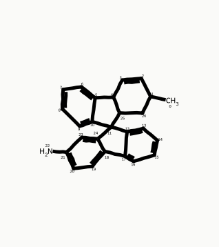 CC1C=CC2c3ccccc3C3(c4ccccc4-c4ccc(N)cc43)C2C1